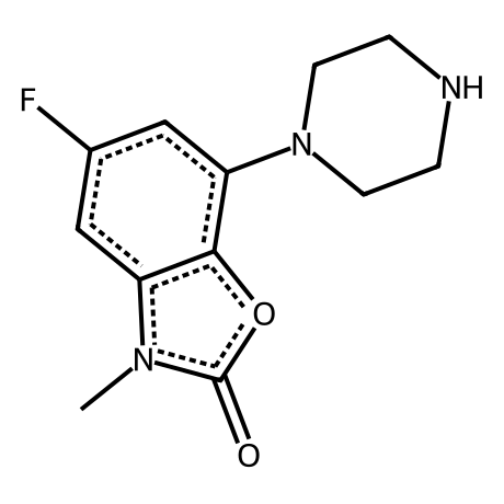 Cn1c(=O)oc2c(N3CCNCC3)cc(F)cc21